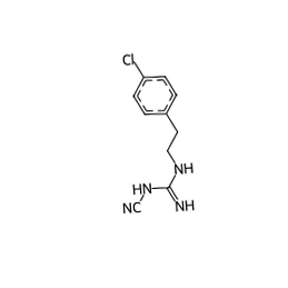 N#CNC(=N)NCCc1ccc(Cl)cc1